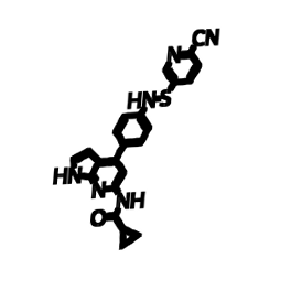 N#Cc1ccc(SNc2ccc(-c3cc(NC(=O)C4CC4)nc4[nH]ccc34)cc2)cn1